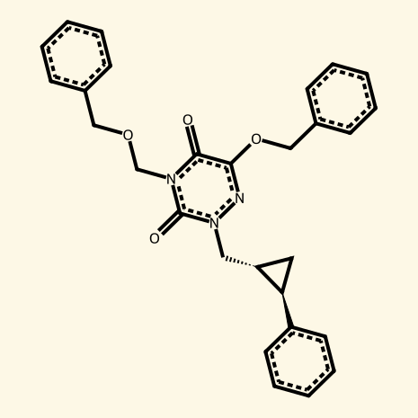 O=c1c(OCc2ccccc2)nn(C[C@@H]2C[C@H]2c2ccccc2)c(=O)n1COCc1ccccc1